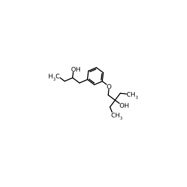 CCC(O)Cc1cccc(OCC(O)(CC)CC)c1